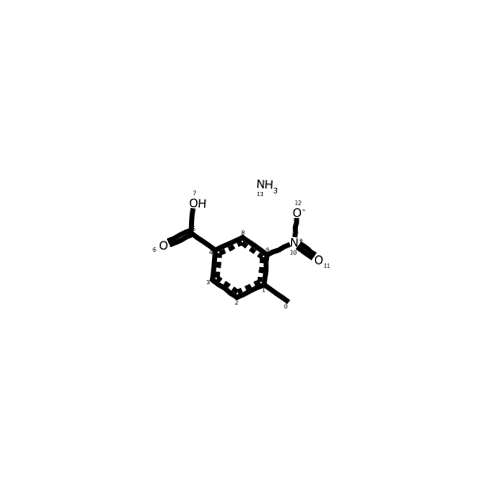 Cc1ccc(C(=O)O)cc1[N+](=O)[O-].N